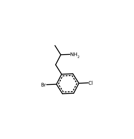 CC(N)Cc1cc(Cl)ccc1Br